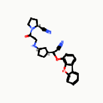 N#CC(Oc1cccc2c1oc1ccccc12)[C@H]1CC[C@@H](NCC(=O)N2CCC[C@H]2C#N)C1